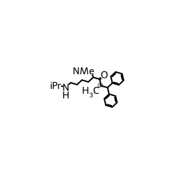 CNC(CCCCNC(C)C)C(=O)[C@@H](C)C(c1ccccc1)c1ccccc1